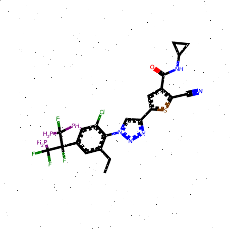 CCc1cc(C(F)(C(F)(F)P)C(F)(P)P)cc(Cl)c1-n1cc(-c2cc(C(=O)NC3CC3)c(C#N)s2)nn1